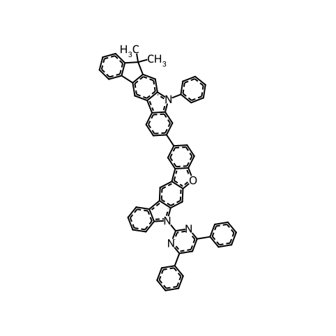 CC1(C)c2ccccc2-c2cc3c4ccc(-c5ccc6oc7cc8c(cc7c6c5)c5ccccc5n8-c5nc(-c6ccccc6)cc(-c6ccccc6)n5)cc4n(-c4ccccc4)c3cc21